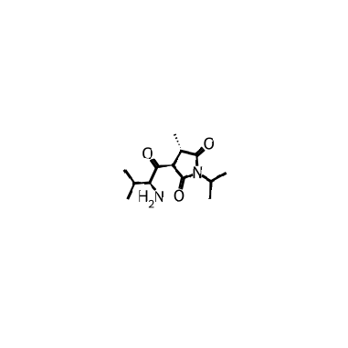 CC(C)[C@H](N)C(=O)[C@@H]1C(=O)N(C(C)C)C(=O)[C@H]1C